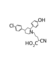 N#CC(CCCN1CCC(c2ccc(Cl)cc2)CC1c1ccc(O)cc1)C(=O)O